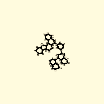 c1cc(-c2nc(-c3cccc4ccccc34)c3ccccc3n2)cc(-c2nc3ccccc3c3c2ccc2c4ccccc4oc23)c1